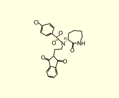 O=C1c2ccccc2C(=O)C1CCN([C@@H]1CCCCNC1=O)S(=O)(=O)c1ccc(Cl)cc1